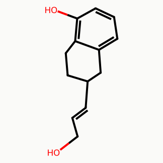 OCC=CC1CCc2c(O)cccc2C1